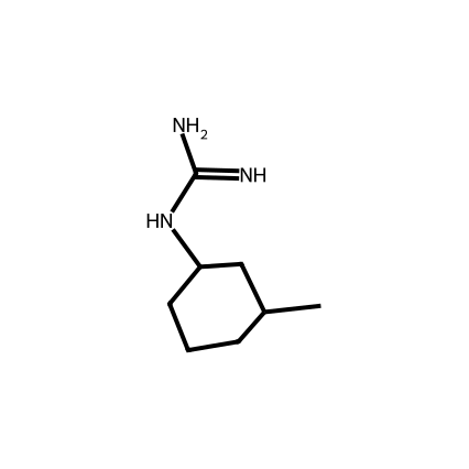 CC1CCCC(NC(=N)N)C1